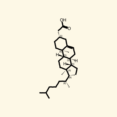 CC(C)CCC[C@@H](C)[C@H]1CC[C@H]2[C@@H]3CC=C4C[C@@H](CC(=O)O)CC[C@]4(C)[C@H]3CC[C@]12C